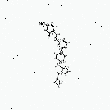 C[C@H](c1nccn1C[C@@H]1CCO1)N1CCN(c2cccc(OCc3ccc(C#N)cc3F)n2)CC1